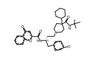 CC(C)(C)NC(=O)C1(C2CCCCC2)CCN(CC[C@H](Cc2ccc(Cl)cc2)NC(=O)c2cc(=O)c3ccccc3o2)CC1